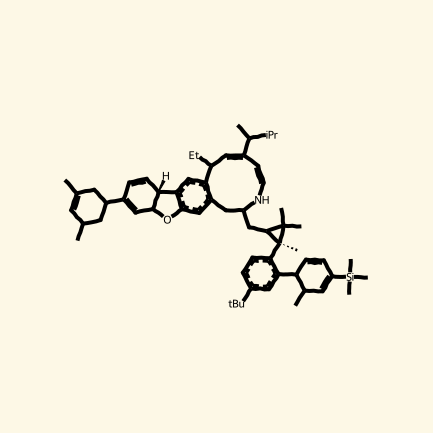 CCC1/C=C(C(C)C(C)C)\C=C/NC(CC2C(C)(C)[C@@]2(C)c2ccc(C(C)(C)C)cc2C2C=CC([Si](C)(C)C)=CC2C)Cc2cc3c(cc21)[C@H]1C=CC(C2CC(C)=CC(C)C2)=CC1O3